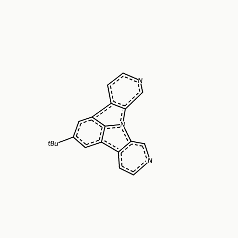 CC(C)(C)c1cc2c3ccncc3n3c4cnccc4c(c1)c23